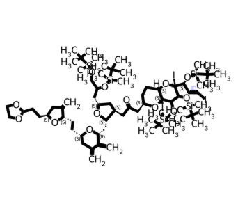 C=C1C[C@H](CC[C@@H]2O[C@@H](CCC3OCCO3)CC2=C)O[C@H](C[C@@H]2O[C@H](CC(CO[Si](C)(C)C(C)(C)C)O[Si](C)(C)C(C)(C)C)C[C@H]2CC(=O)C[C@H]2CC[C@@H]3O[C@](I)([C@H](/C=C/I)O[Si](C)(C)C(C)(C)C)C(O[Si](C)(C)C(C)(C)C)C(O[Si](C)(C)C(C)(C)C)[C@]3(I)O2)C1=C